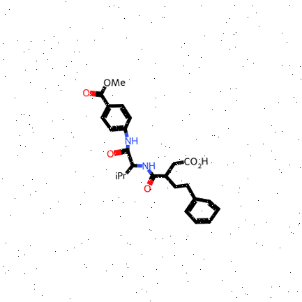 COC(=O)c1ccc(NC(=O)C(NC(=O)C(CCc2ccccc2)CC(=O)O)C(C)C)cc1